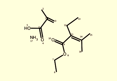 C=C(C)C(=O)O.CCOC(=O)C(CC)=C(C)C.N